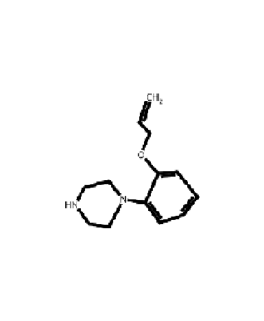 C=CCOc1ccccc1N1CCNCC1